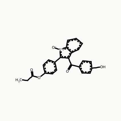 CCC(=O)Oc1ccc(-c2c(C(=O)c3ccc(O)cc3)c3ccccc3[s+]2[O-])cc1